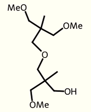 COCC(C)(CO)COCC(C)(COC)COC